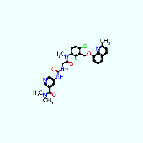 Cc1ccc2cccc(OCc3c(Cl)ccc(N(C)C(=O)CNC(=O)Nc4cncc(C(=O)N(C)C)c4)c3Cl)c2n1